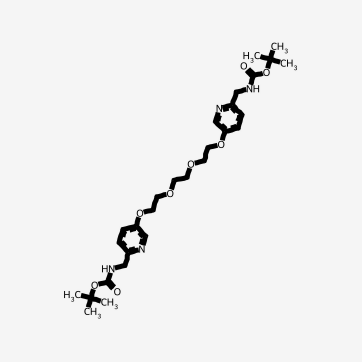 CC(C)(C)OC(=O)NCc1ccc(OCCOCCOCCOc2ccc(CNC(=O)OC(C)(C)C)nc2)cn1